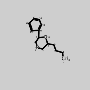 CCCCC1C[N]CC(c2ccccc2)O1